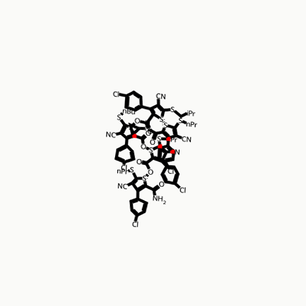 CCCCSC1=C(C#N)C(c2ccc(Cl)cc2)=C(C(=O)O[S]2C(SCCC)=C(C#N)C(c3ccc(Cl)cc3)=C2C(=O)O[S]2C(SCCC)=C(C#N)C(c3ccc(Cl)cc3)=C2C(N)=O)[S]1OC(=O)C1=C(c2ccc(Cl)cc2)C(C#N)=C(SCC(C)C)[S]1[S]1C(SCCC)=C(C#N)C(c2ccc(Cl)cc2)=C1C(=O)NC1CC1